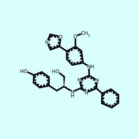 COc1cc(Nc2nc(N[C@H](CO)Cc3ccc(O)cc3)nc(-c3ccccc3)n2)ccc1-c1cnco1